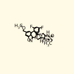 CCS(=O)(=O)N[C@@H]1CN2C(=O)N(c3noc4cc(COC)cc(-c5c(F)cc(F)cc5F)c34)C[C@@H]2C1(F)F